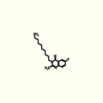 CCCCCCCCCCn1c(C)nc2ccc(F)cc2c1=O